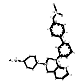 CC(=O)N[C@H]1CC[C@@H](N2CC3CC=CN=C3N(c3cccc(-c4ccc(CN(C)C)cc4)c3)C2)CC1